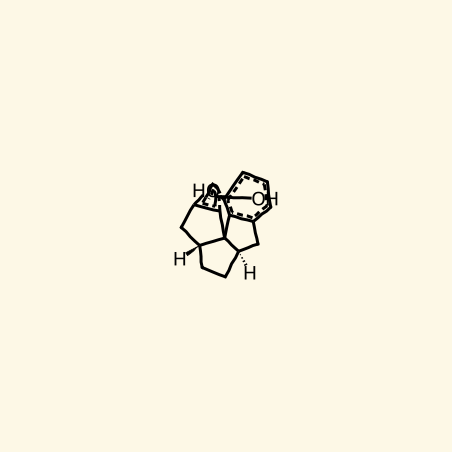 Oc1cccc2c1C13c4c(O)cccc4C[C@H]1CC[C@@H]3C2